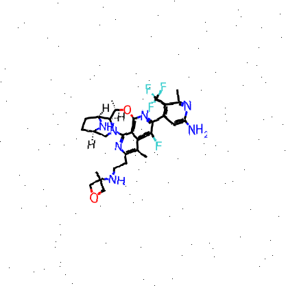 Cc1nc(N)cc(-c2nc3c4c(nc(CCNC5(C)COC5)c(C)c4c2F)N2C[C@H]4CC[C@H](N4)[C@H]2[C@H](C)O3)c1C(F)(F)F